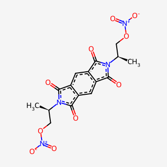 C[C@H](CO[N+](=O)[O-])n1c(=O)c2cc3c(=O)n([C@H](C)CO[N+](=O)[O-])c(=O)c3cc2c1=O